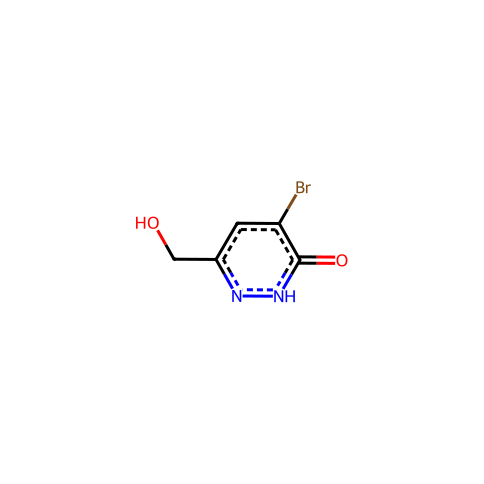 O=c1[nH]nc(CO)cc1Br